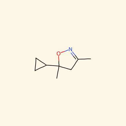 CC1=NOC(C)(C2CC2)C1